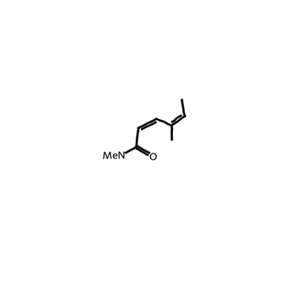 C/C=C(C)\C=C/C(=O)NC